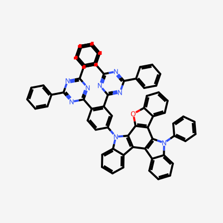 c1ccc(-c2nc(-c3ccccc3)nc(-c3ccc(-n4c5ccccc5c5c6c7ccccc7n(-c7ccccc7)c6c6c7ccccc7oc6c54)cc3-c3nc(-c4ccccc4)nc(-c4ccccc4)n3)n2)cc1